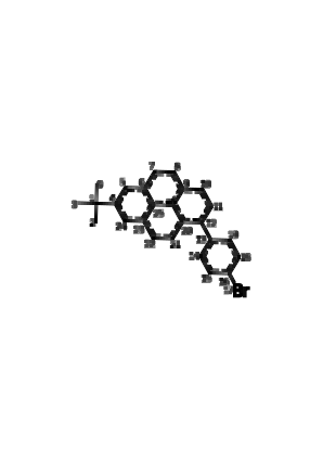 CC(C)(C)c1cc2ccc3ccc(-c4ccc(Br)cc4)c4ccc(c1)c2c34